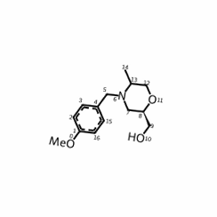 COc1ccc(CN2C[C@H](CO)OCC2C)cc1